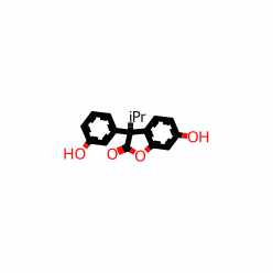 CC(C)C1(c2cccc(O)c2)C(=O)Oc2cc(O)ccc21